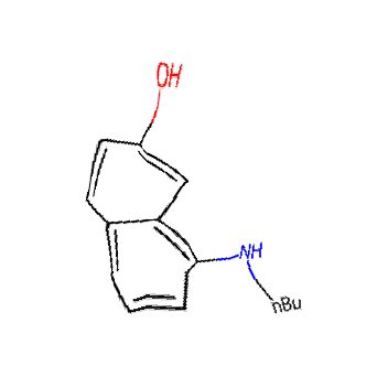 CCCCNc1cccc2ccc(O)cc12